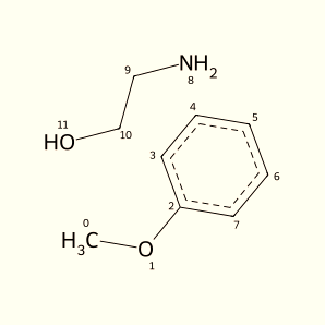 COc1ccccc1.NCCO